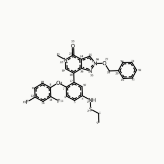 CCSNc1ccc(Oc2ccc(F)cc2F)c(-c2cn(C)c(=O)c3cn(OCc4ccccc4)nc23)c1